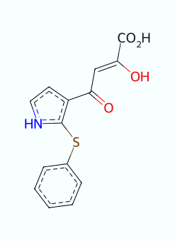 O=C(O)/C(O)=C/C(=O)c1cc[nH]c1Sc1ccccc1